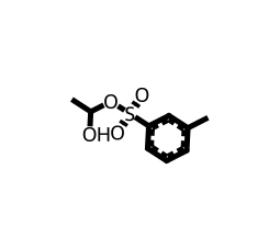 Cc1cccc(S(=O)(=O)OC(C)O)c1